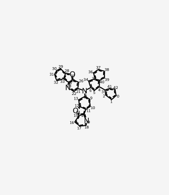 c1ccc(-c2cc(N(c3ccc4c(c3)oc3cccnc34)c3cnc4c(c3)oc3ccccc34)cc3ccccc23)cc1